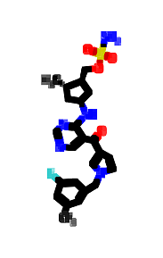 C[C@H]1C[C@H](Nc2ncncc2C(=O)c2ccn(Cc3cc(F)cc(C(F)(F)F)c3)c2)C[C@@H]1COS(N)(=O)=O